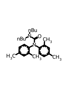 CCCCN(CCCC)C(=O)N(c1ccc(C)cc1C)c1ccc(C)cc1C